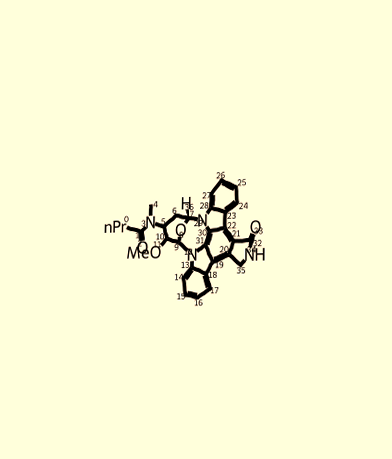 CCCC(=O)N(C)C1C[C@H]2OC(C1OC)n1c3ccccc3c3c4c(c5c6ccccc6n2c5c31)C(=O)NC4